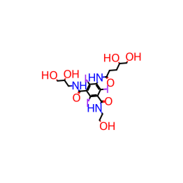 O=C(CCC(O)CO)Nc1c(I)c(C(=O)NCCO)c(I)c(C(=O)NCC(O)CO)c1I